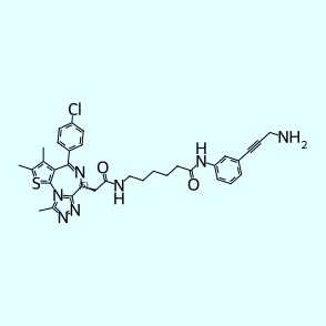 Cc1sc2c(c1C)C(c1ccc(Cl)cc1)=N[C@@H](CC(=O)NCCCCCC(=O)Nc1cccc(C#CCN)c1)c1nnc(C)n1-2